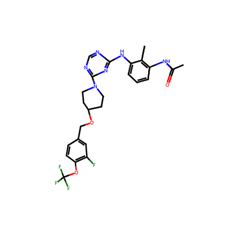 CC(=O)Nc1cccc(Nc2ncnc(N3CCC(OCc4ccc(OC(F)(F)F)c(F)c4)CC3)n2)c1C